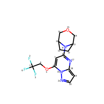 FC(F)(F)COc1cc(N2C3CCC2COC3)nc2ccnn12